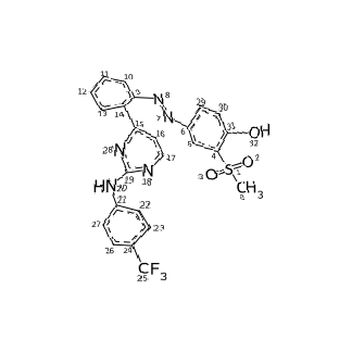 CS(=O)(=O)c1cc(N=Nc2ccccc2-c2ccnc(Nc3ccc(C(F)(F)F)cc3)n2)ccc1O